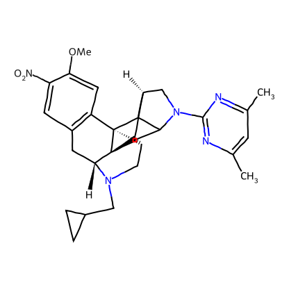 COc1cc2c(cc1[N+](=O)[O-])C[C@H]1N(CC3CC3)CC[C@@]23C2C4CC[C@@]13C[C@@H]2CN4c1nc(C)cc(C)n1